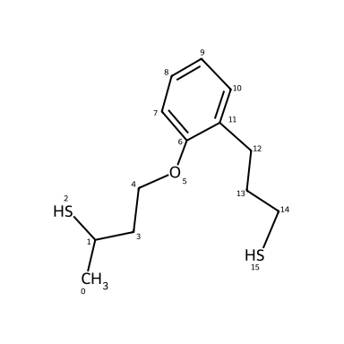 CC(S)CCOc1ccccc1CCCS